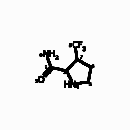 NC(=O)C1NCCC1C(F)(F)F